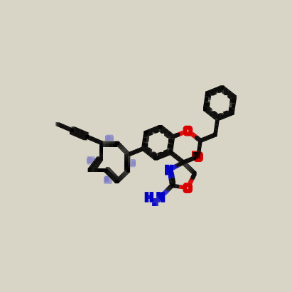 CC#CC1=C/C(c2ccc3c(c2)C2(COC(N)=N2)C2(COC2)C(Cc2ccccc2)O3)=C\C=C\C=C\1